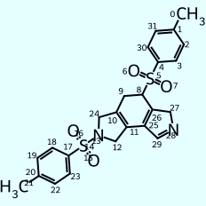 Cc1ccc(S(=O)(=O)C2CC3=C(CN(S(=O)(=O)c4ccc(C)cc4)C3)C3=C2CN=C3)cc1